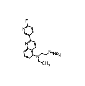 CCN(CCN=[N+]=[N-])c1cccc2nc(-c3ccc(F)nc3)ccc12